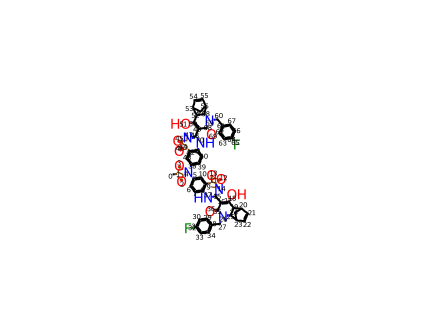 CS(=O)(=O)N(c1ccc2c(c1)S(=O)(=O)N=C(C1=C(O)C3C4C=CC(C4)C3N(Cc3ccc(F)cc3)C1=O)N2)c1ccc2c(c1)S(=O)(=O)N=C(C1=C(O)C3C4C=CC(C4)C3N(Cc3ccc(F)cc3)C1=O)N2